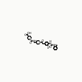 COc1cc(CC(=O)N2CCC(CNC(=O)N3CCC(C(=O)O)CC3)CC2)ccc1NC(=O)Nc1ccccc1C